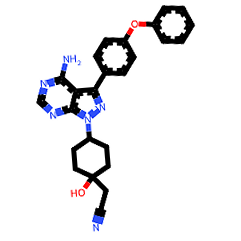 N#CCC1(O)CCC(n2nc(-c3ccc(Oc4ccccc4)cc3)c3c(N)ncnc32)CC1